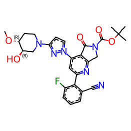 CO[C@@H]1CCN(c2ccn(-c3cc(-c4c(F)cccc4C#N)nc4c3C(=O)N(C(=O)OC(C)(C)C)C4)n2)C[C@H]1O